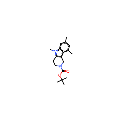 Cc1cc(C)c2c3c(n(C)c2c1)CCN(C(=O)OC(C)(C)C)C3